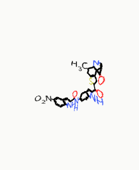 CC1CC2=C(CC(C(=O)c3cc4cc(NC(=O)c5cc6cc([N+](=O)[O-])ccc6[nH]5)ccc4[nH]3)S2)C23C(=O)C2=CN=C13